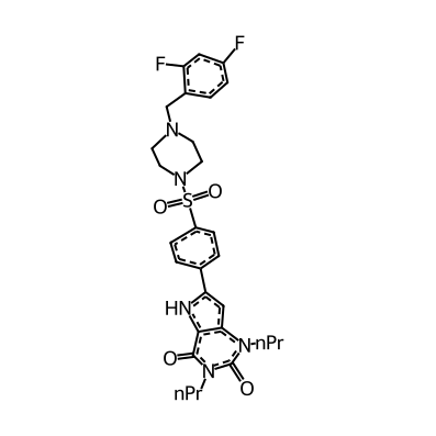 CCCn1c(=O)c2[nH]c(-c3ccc(S(=O)(=O)N4CCN(Cc5ccc(F)cc5F)CC4)cc3)cc2n(CCC)c1=O